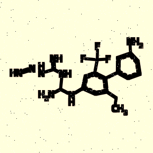 CCc1cc(NC(N)NC(=N)NN=N)cc(C(F)(F)F)c1-c1cccc(N)c1